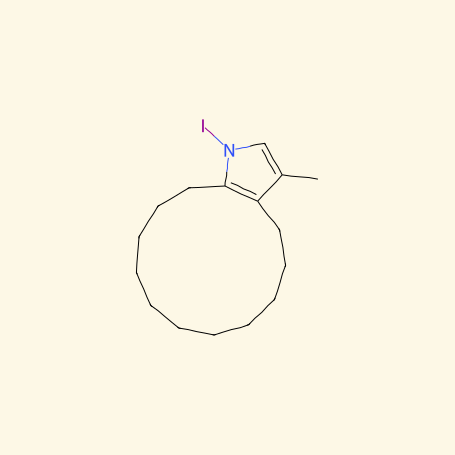 Cc1cn(I)c2c1CCCCCCCCCCC2